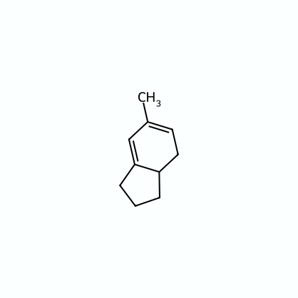 CC1=CCC2CCCC2=C1